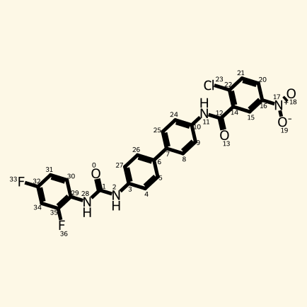 O=C(Nc1ccc(-c2ccc(NC(=O)c3cc([N+](=O)[O-])ccc3Cl)cc2)cc1)Nc1ccc(F)cc1F